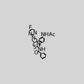 CC(=O)Nc1ccc(F)c(C23CN(c4ncc(F)cn4)CC2CSC(NC(=O)c2ccccc2)=N3)c1